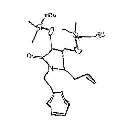 C=CCC1C(O[Si](C)(C)C(C)(C)C)C(O[Si](C)(C)C(C)(C)C)C(=O)N1Cc1ccccc1